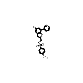 Cc1ccc(S(=O)(=O)OCC2Cc3cc(F)cc(-c4cccnc4)c3O2)cc1